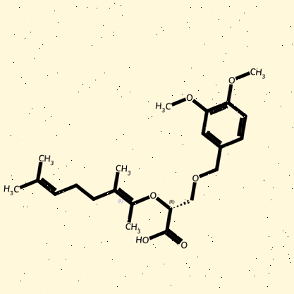 COc1ccc(COC[C@@H](O/C(C)=C(\C)CCC=C(C)C)C(=O)O)cc1OC